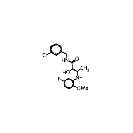 COc1ccc(F)cc1NC(C)C(O)C(=O)NCc1cccc(Cl)c1